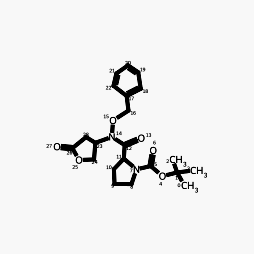 CC(C)(C)OC(=O)N1CCCC1C(=O)N(OCc1ccccc1)C1COC(=O)C1